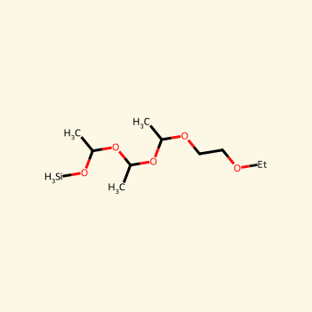 CCOCCOC(C)OC(C)OC(C)O[SiH3]